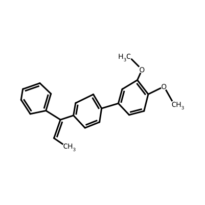 CC=C(c1ccccc1)c1ccc(-c2ccc(OC)c(OC)c2)cc1